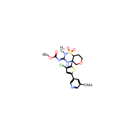 COc1cncc(-c2cc(Cl)c([C@]34COCCC3S(=O)(=O)N(C)/C(=N\C(=O)OC(C)(C)C)N4)s2)c1